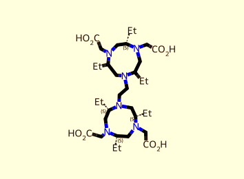 CCC1CN(CC(=O)O)[C@@H](CC)CN(CC(=O)O)C(CC)CN1CCN1C[C@H](CC)N(CC(=O)O)C[C@H](CC)N(CC(=O)O)C[C@@H]1CC